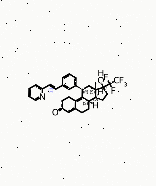 C[C@]12C[C@H](c3cccc(/C=C/c4ccccn4)c3)C3=C4CCC(=O)C=C4CC[C@H]3[C@@H]1CC[C@@]2(O)C(F)(F)C(F)(F)F